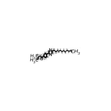 CCCCCCCCCCCCc1cnc(-c2ccc(C(=O)CC(C)CC)cc2)cn1